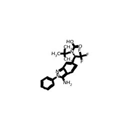 CC(C)(C)N(C(=O)O)[C@H](c1ccc2c(N)n(-c3ccccc3)nc2c1)C(F)(F)F